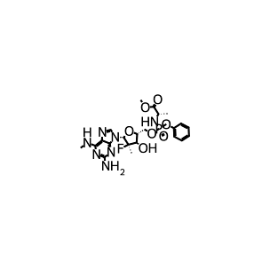 CNc1nc(N)nc2c1ncn2[C@@H]1O[C@H](CO[P@@](=O)(N[C@@H](C)C(=O)OC)Oc2ccccc2)[C@@H](O)[C@@]1(C)F